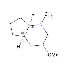 COC1C[C@H]2CCC[C@H]2N(C)C1